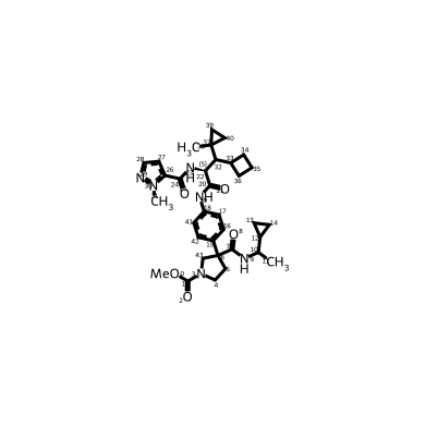 COC(=O)N1CCC(C(=O)NC(C)C2CC2)(c2ccc(NC(=O)[C@@H](NC(=O)c3ccnn3C)C(C3CCC3)C3(C)CC3)cc2)C1